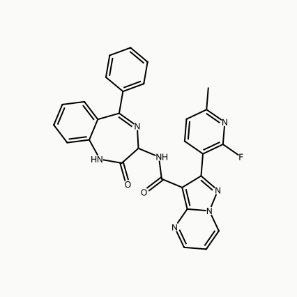 Cc1ccc(-c2nn3cccnc3c2C(=O)NC2N=C(c3ccccc3)c3ccccc3NC2=O)c(F)n1